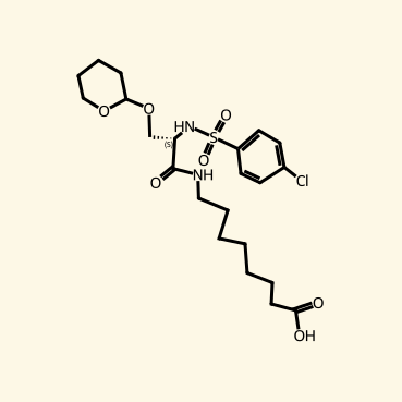 O=C(O)CCCCCCCNC(=O)[C@H](COC1CCCCO1)NS(=O)(=O)c1ccc(Cl)cc1